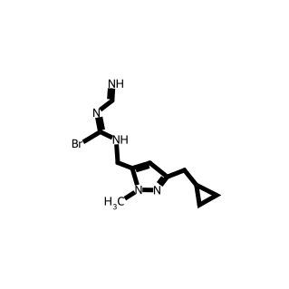 Cn1nc(CC2CC2)cc1CN/C(Br)=N\C=N